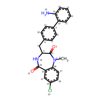 CN1C(=O)C(Cc2ccc(-c3ccccc3N)cc2)NC(=O)c2cc(Cl)ccc21